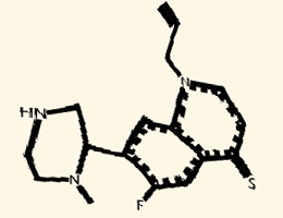 C=CCn1ccc(=S)c2cc(F)c(C3CNCCN3C)cc21